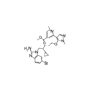 COC(=O)c1cc(C)nc(-c2cnn(C)c2OCCC[C@H](Cn2c(N)nc3ccc(Br)cc32)C2CC2)c1